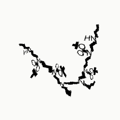 CCCCNCCCN(CCCCN(CCCN(CC#CCN(CCCC)CCCN(CCCCN(CCCNCCCC)C(=O)OC(C)(C)C)C(=O)OC(C)(C)C)CCCC)C(=O)OC(C)(C)C)C(=O)OC(C)(C)C